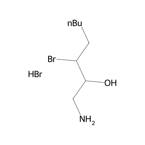 Br.CCCCCC(Br)C(O)CN